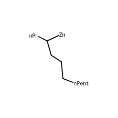 CCCCCCCC[CH]([Zn])CCC